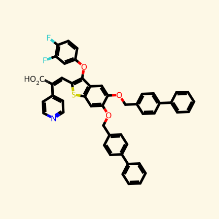 O=C(O)/C(=C/c1sc2cc(OCc3ccc(-c4ccccc4)cc3)c(OCc3ccc(-c4ccccc4)cc3)cc2c1Oc1ccc(F)c(F)c1)c1ccncc1